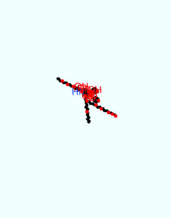 CCCCCCCCCCCCCCCC[C@H](CCCCCCCCCCC)CC(=O)O[C@@H]1[C@H](NC(=O)C[C@H](O)CCCCCCCCCCC)[C@@H](O)O[C@H](CO)[C@H]1OP(=O)(Oc1ccccc1)Oc1ccccc1